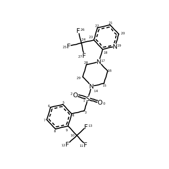 O=S(=O)(Cc1ccccc1C(F)(F)F)N1CCN(c2ncccc2C(F)(F)F)CC1